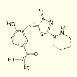 CCN(CC)C(=O)c1ccc(O)c(/C=C2\SC(N3CCCCN3)=NC2=O)c1